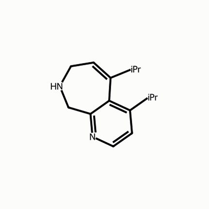 CC(C)C1=CCNCc2nccc(C(C)C)c21